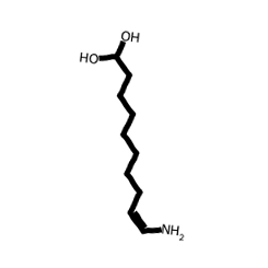 N/C=C\CCCCCCCC(O)O